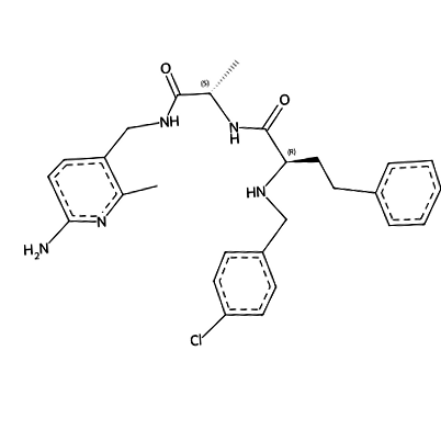 Cc1nc(N)ccc1CNC(=O)[C@H](C)NC(=O)[C@@H](CCc1ccccc1)NCc1ccc(Cl)cc1